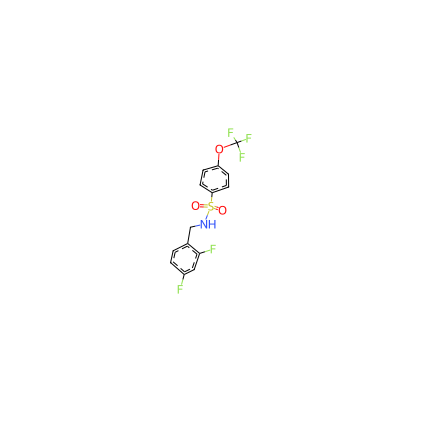 O=S(=O)(NCc1ccc(F)cc1F)c1ccc(OC(F)(F)F)cc1